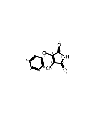 O=C1NC(=O)C(Cl)=C1Cl.c1ccccc1